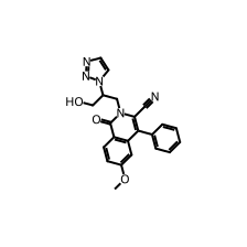 COc1ccc2c(=O)n(CC(CO)n3ccnn3)c(C#N)c(-c3ccccc3)c2c1